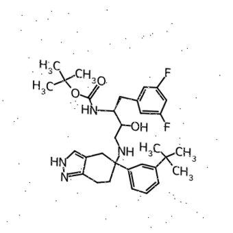 CC(C)(C)OC(=O)N[C@@H](Cc1cc(F)cc(F)c1)C(O)CNC1(c2cccc(C(C)(C)C)c2)CCc2n[nH]cc2C1